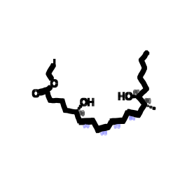 CCCCC[C@H](O)[C@H](C)/C=C/C=C/C=C\C=C\[C@@H](O)CCCC(=O)OCI